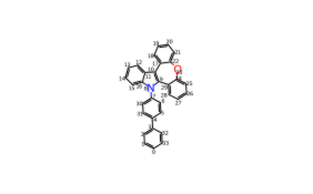 c1ccc(-c2ccc(-n3c4c(c5ccccc53)-c3ccccc3Oc3ccccc3-4)cc2)cc1